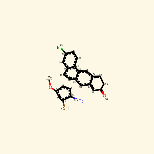 CCOc1ccc(N)c(S)c1.O=C1C=c2cc3ccc4cc(Br)ccc4c3cc2=CC1